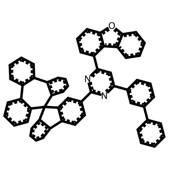 c1ccc(-c2cccc(-c3cc(-c4cccc5oc6ccccc6c45)nc(-c4ccc5c(c4)C4(c6ccccc6-c6ccccc6-c6ccccc64)c4ccccc4-5)n3)c2)cc1